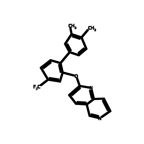 Cc1ccc(-c2ccc(C(F)(F)F)cc2Oc2ccc3cnccc3n2)cc1C